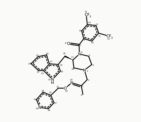 CC(CN1CCN(C(=O)c2cc(C(F)(F)F)cc(C(F)(F)F)c2)[C@H](Cc2c[nH]c3ccccc23)C1)=NOCc1ccncc1